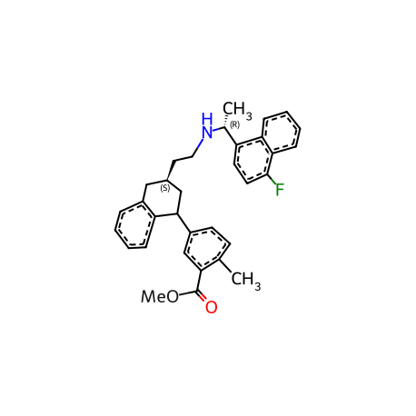 COC(=O)c1cc(C2C[C@H](CCN[C@H](C)c3ccc(F)c4ccccc34)Cc3ccccc32)ccc1C